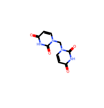 O=c1ccn(Cn2ccc(=O)[nH]c2=O)c(=O)[nH]1